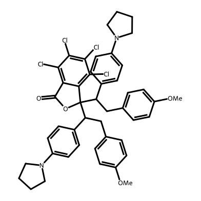 COc1ccc(CC(c2ccc(N3CCCC3)cc2)C2(C(Cc3ccc(OC)cc3)c3ccc(N4CCCC4)cc3)OC(=O)c3c(Cl)c(Cl)c(Cl)c(Cl)c32)cc1